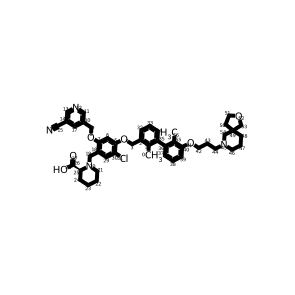 Cc1c(COc2cc(OCc3cncc(C#N)c3)c(CN3CCCC[C@H]3C(=O)O)cc2Cl)cccc1-c1cccc(OCCCN2CCCC3(CCOC3)C2)c1C